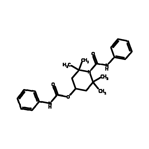 CC1(C)CC(OC(=O)Nc2ccccc2)CC(C)(C)N1C(=O)Nc1ccccc1